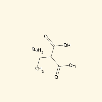 CCC(C(=O)O)C(=O)O.[BaH2]